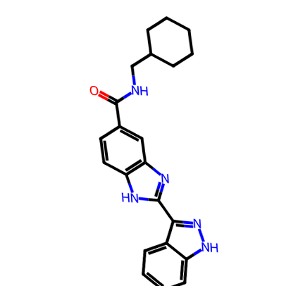 O=C(NCC1CCCCC1)c1ccc2[nH]c(-c3n[nH]c4ccccc34)nc2c1